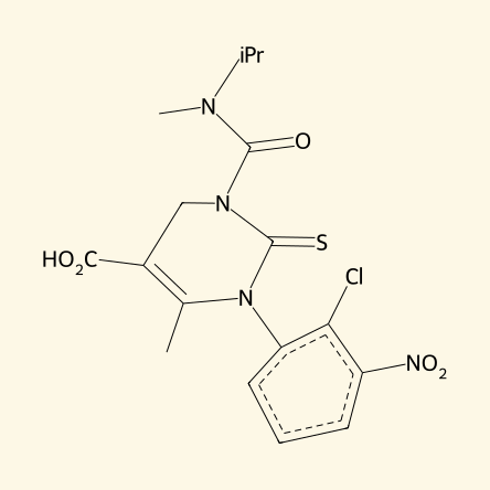 CC1=C(C(=O)O)CN(C(=O)N(C)C(C)C)C(=S)N1c1cccc([N+](=O)[O-])c1Cl